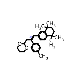 Cc1ccc(/C(=C\c2ccc3c(c2)C(C)(C)CCC3(C)C)CC2OCCCO2)cc1